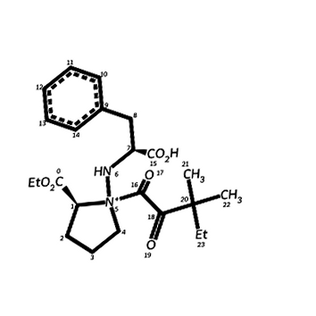 CCOC(=O)[C@@H]1CCC[N+]1(N[C@@H](Cc1ccccc1)C(=O)O)C(=O)C(=O)C(C)(C)CC